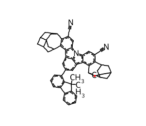 CC1(C)c2ccccc2-c2cccc(-c3cc4c5c6c(c(C#N)cc5n5c7cc(C#N)c8c(c7c(c3)c45)C3CC4CC5CC8CC54C3)C3CC4CC(C3)CC6C4)c21